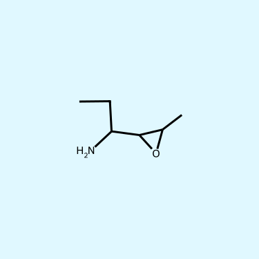 CCC(N)C1OC1C